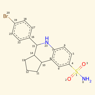 NS(=O)(=O)c1ccc2c(c1)C1CCCC1C(c1ccc(Br)cc1)N2